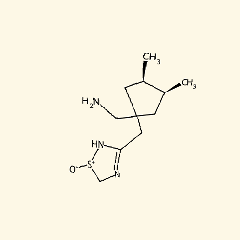 C[C@@H]1CC(CN)(CC2=NC[S+]([O-])N2)C[C@@H]1C